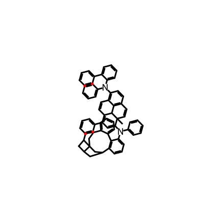 CC12C=Cc3ccc(N(c4ccccc4)c4ccccc4-c4ccccc4)c4c3C1C(=C(c1ccccc1)C=C2N(c1ccccc1)c1cccc2c1-c1ccccc1C1CC3CC5CC2CC35C1)C=C4